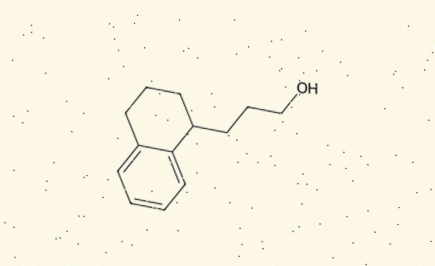 OCCCC1CCCc2ccccc21